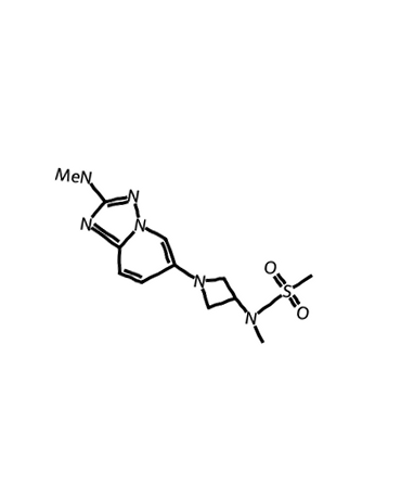 CNc1nc2ccc(N3CC(N(C)S(C)(=O)=O)C3)cn2n1